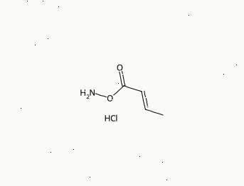 C/C=C/C(=O)ON.Cl